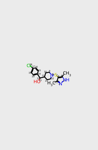 Cc1n[nH]c(C)c1SN1CCC(C(O)c2ccc(Cl)cc2)CC1